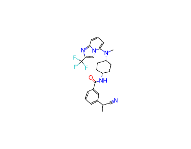 CC(C#N)c1cccc(C(=O)N[C@H]2CC[C@@H](N(C)c3cccc4nc(C(F)(F)F)cn34)CC2)c1